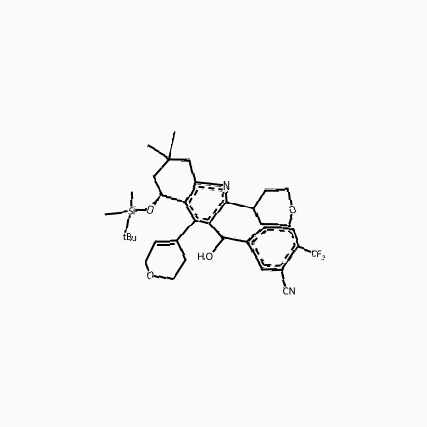 CC1(C)Cc2nc(C3CCOCC3)c(C(O)c3ccc(C(F)(F)F)c(C#N)c3)c(C3=CCOCC3)c2[C@@H](O[Si](C)(C)C(C)(C)C)C1